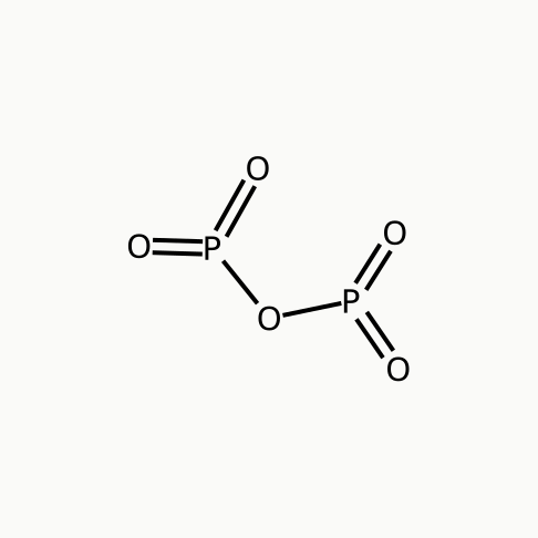 O=P(=O)OP(=O)=O